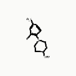 O=CC1CCN(c2ccc([N+](=O)[O-])cc2F)CC1